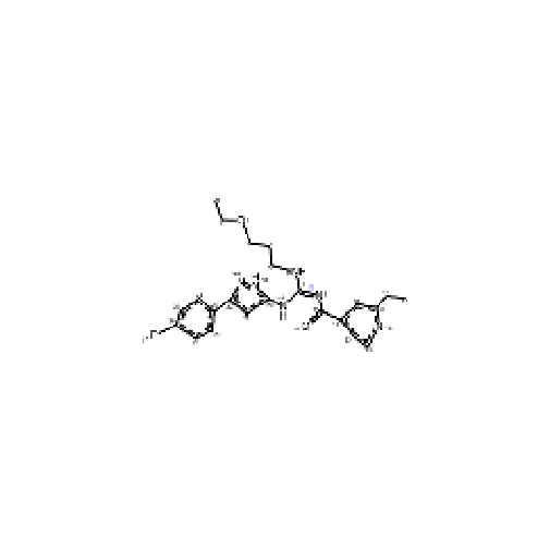 CCOCCCN/C(=N/C(=O)c1ccnc(CC)c1)Nc1cc(-c2ccc(F)cc2)n[nH]1